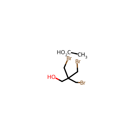 CC(=O)O.OCC(CBr)(CBr)CBr